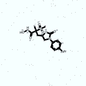 CCCc1ccc(N2CC(CC(C)(C(=O)NO)S(C)(=O)=O)OC2=O)cc1